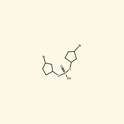 O=P(O)(OC1CCC(Br)C1)OC1CCC(Br)C1